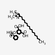 CCCCCCCCCCCCCCCCc1cn(C)c(C)n1.O=C(O)c1cccc(C(=O)O)c1.O=S(=O)(O)c1ccccc1